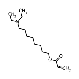 C=CC(=O)OCCCCCCCCN(CC)CC